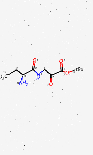 CC(C)(C)OC(=O)C(=O)CNC(=O)[C@@H](N)CC(=O)O